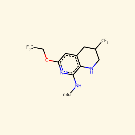 CCCCNc1nc(OCC(F)(F)F)cc2c1NCC(C(F)(F)F)C2